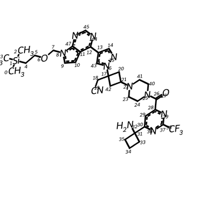 C[Si](C)(C)CCOCn1ccc2c(-c3cnn(C4(CC#N)CC(N5CCN(C(=O)c6cc(C7(N)CCC7)nc(C(F)(F)F)n6)CC5)C4)c3)ncnc21